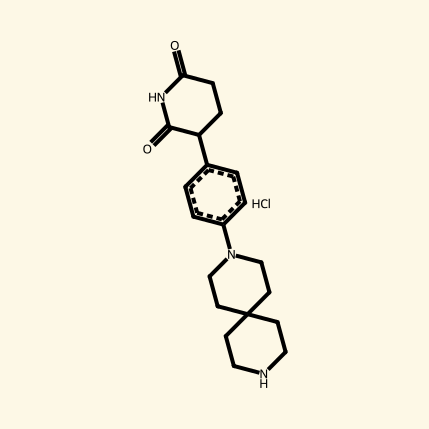 Cl.O=C1CCC(c2ccc(N3CCC4(CCNCC4)CC3)cc2)C(=O)N1